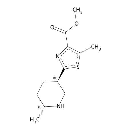 COC(=O)c1nc([C@@H]2CC[C@@H](C)NC2)sc1C